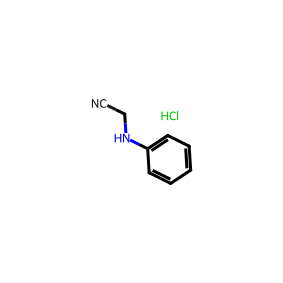 Cl.N#CCNc1ccccc1